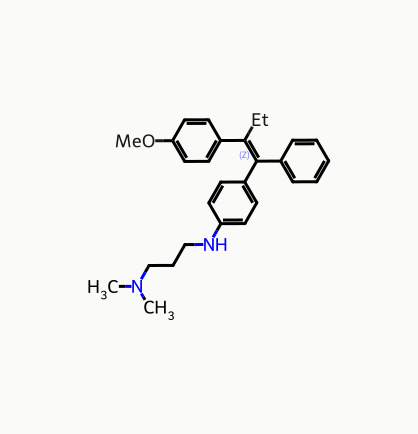 CC/C(=C(\c1ccccc1)c1ccc(NCCCN(C)C)cc1)c1ccc(OC)cc1